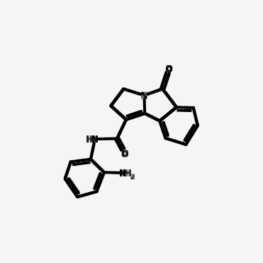 Nc1ccccc1NC(=O)C1=C2c3ccccc3C(=O)N2CC1